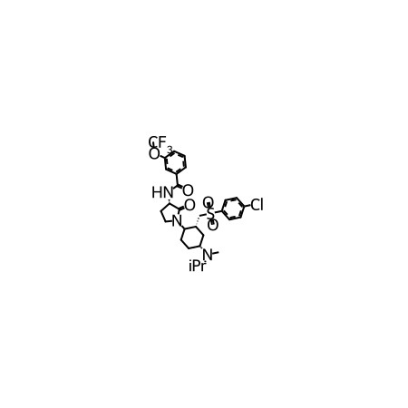 CC(C)N(C)[C@@H]1CCC(N2CC[C@H](NC(=O)c3cccc(OC(F)(F)F)c3)C2=O)[C@H](CS(=O)(=O)c2ccc(Cl)cc2)C1